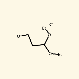 CCOC(CC[O-])OCC.[K+]